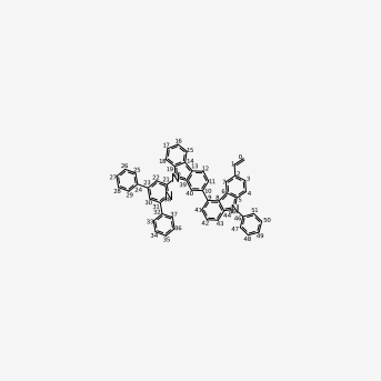 C=Cc1ccc2c(c1)c1c(-c3ccc4c5ccccc5n(-c5cc(-c6ccccc6)cc(-c6ccccc6)n5)c4c3)cccc1n2-c1ccccc1